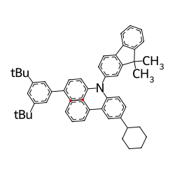 CC(C)(C)c1cc(-c2ccc(N(c3ccc4c(c3)C(C)(C)c3ccccc3-4)c3ccc(C4CCCCC4)cc3-c3ccccc3)cc2)cc(C(C)(C)C)c1